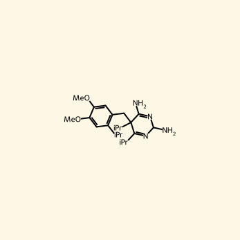 COc1cc(CC2(C(C)C)C(N)=NC(N)N=C2C(C)C)c(C(C)C)cc1OC